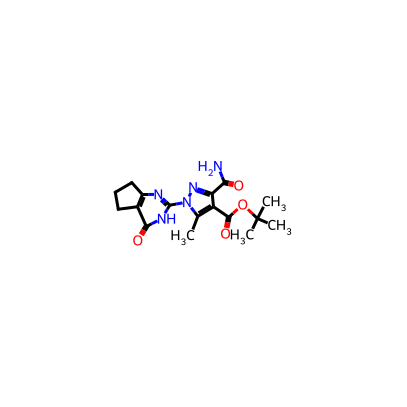 Cc1c(C(=O)OC(C)(C)C)c(C(N)=O)nn1-c1nc2c(c(=O)[nH]1)CCC2